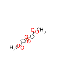 COC(=O)C1C=C(S(=O)(=O)C2=CC(C(=O)OC)CC2)CC1